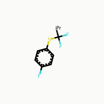 CC(C)C(F)(F)Sc1ccc(F)cc1